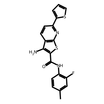 Cc1ccc(NC(=O)c2sc3nc(-c4cccs4)ccc3c2N)c(F)c1